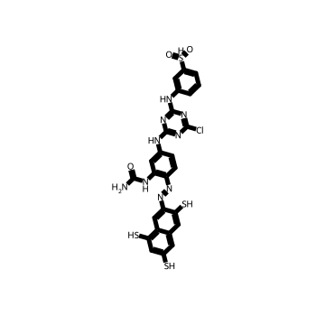 NC(=O)Nc1cc(Nc2nc(Cl)nc(Nc3cccc([SH](=O)=O)c3)n2)ccc1N=Nc1cc2c(S)cc(S)cc2cc1S